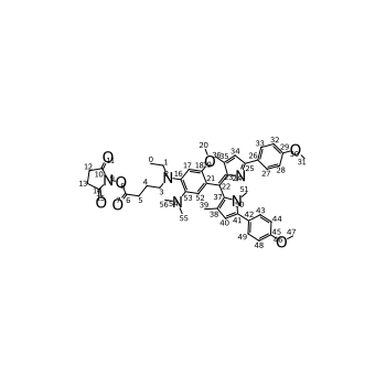 CCN(CCCC(=O)ON1C(=O)CCC1=O)c1cc(OC)c(/C(=C2/N=C(c3ccc(OC)cc3)C=C2C)c2c(C)cc(-c3ccc(OC)cc3)n2C)cc1N(C)C